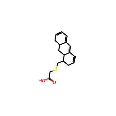 O=C(O)CSCC1CC=CC2=CC3=CC=CCC3CC21